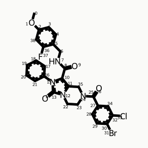 COc1ccc(CNC(=O)c2c3n(c(=O)n2-c2ccccc2)CCN(C(=O)c2ccc(Br)c(Cl)c2)C3)c(F)c1